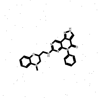 CN1CC(CNc2ncc3c4n[nH]cc4c(=O)n(-c4ccccc4)c3n2)Oc2ccccc21